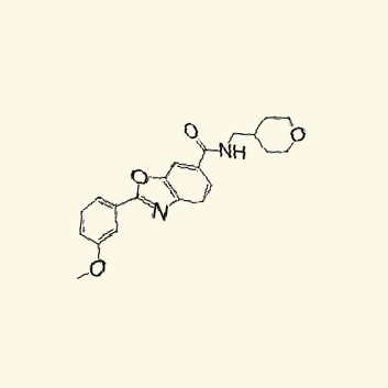 COc1cccc(-c2nc3ccc(C(=O)NCC4CCOCC4)cc3o2)c1